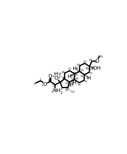 CCOC(=O)C(N)C1(O)C[C@@H](C)[C@H]2[C@@H]3CC[C@@H]4C[C@@](O)(COC)CC[C@@H]4[C@H]3CC[C@@]21C